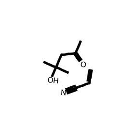 C=CC#N.CC(=O)CC(C)(C)O